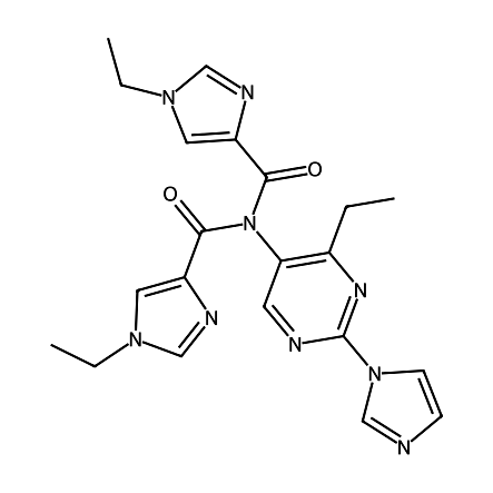 CCc1nc(-n2ccnc2)ncc1N(C(=O)c1cn(CC)cn1)C(=O)c1cn(CC)cn1